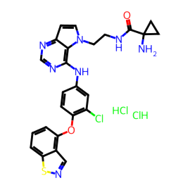 Cl.Cl.NC1(C(=O)NCCn2ccc3ncnc(Nc4ccc(Oc5cccc6sncc56)c(Cl)c4)c32)CC1